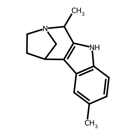 Cc1ccc2[nH]c3c(c2c1)C1CCN(C1)C3C